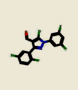 O=Cc1c(-c2cc(F)ccc2F)nn(-c2cc(F)cc(F)c2)c1Br